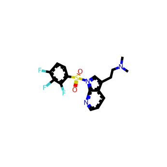 CN(C)CCc1cn(S(=O)(=O)c2ccc(F)c(F)c2F)c2ncccc12